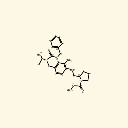 CC(N(Cc1ccc(NCC2CCCN2C(=O)OC(C)(C)C)c([N+](=O)[O-])c1)C(=O)OCc1ccccc1)C(C)(C)C